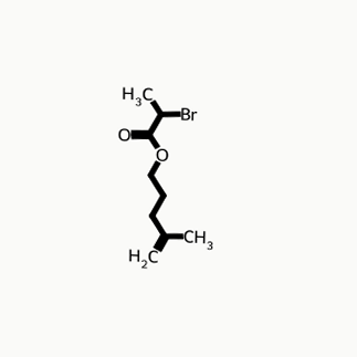 C=C(C)CCCOC(=O)C(C)Br